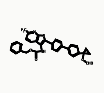 O=COC1(c2ccc(-c3ccc(-c4sc5nc(C(F)(F)F)ccc5c4NC(=O)OCc4ccccc4)cc3)cc2)CC1